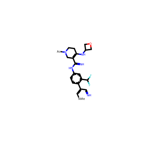 CN/C=C(\C=N)c1ccc(NC(=N)C2=C(NC3COC3)CCN(C(C)=O)C2)cc1C(F)F